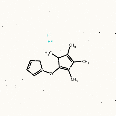 CC1=C(C)C(C)[C]([Zr][C]2=CC=CC2)=C1C.F.F